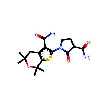 CC1(C)Cc2c(sc(N3CCC(C(N)=O)C3=O)c2C(N)=O)C(C)(C)O1